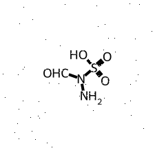 NN(C=O)S(=O)(=O)O